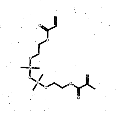 C=CC(=O)OCCO[Si](C)(C)O[Si](C)(C)OCCOC(=O)C(=C)C